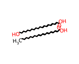 CCCCCCCCCC=CC=CC=CC=CC=CC(=O)O.O=C(O)C=CC=CC=CC=CCCCCCCCCCCCO